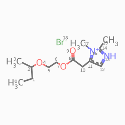 CCC(C)OCCOC(=O)Cc1c[nH]c(C)[n+]1C.[Br-]